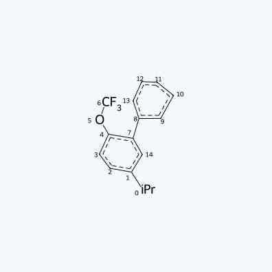 CC(C)c1ccc(OC(F)(F)F)c(-c2ccccc2)c1